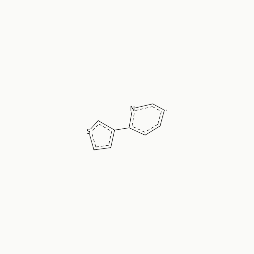 [c]1ccc(-c2ccsc2)nc1